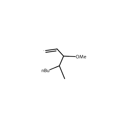 [CH]=CC(OC)C(C)CCCC